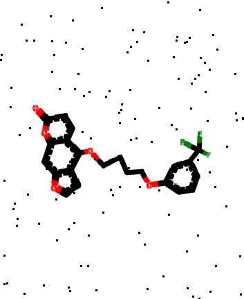 O=c1ccc2c(OCCCCOc3cccc(C(F)(F)F)c3)c3ccoc3cc2o1